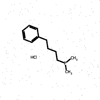 CP(C)CCCCc1ccccc1.Cl